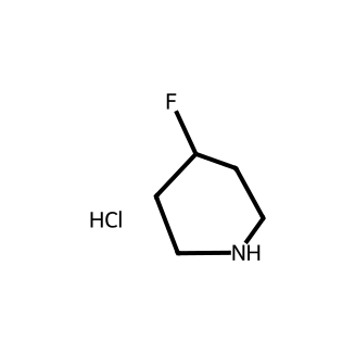 Cl.FC1CCNCC1